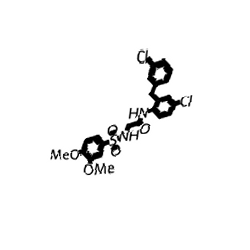 COc1ccc(S(=O)(=O)NCC(=O)Nc2ccc(Cl)cc2Cc2cccc(Cl)c2)cc1OC